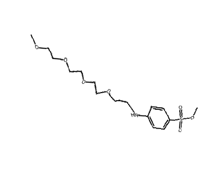 COCCOCCOCCOCCNc1ccc(S(=O)(=O)OC)cc1